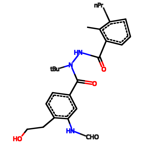 CCCc1cccc(C(=O)NN(C(=O)c2ccc(CCO)c(NC=O)c2)C(C)(C)C)c1C